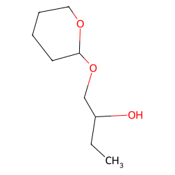 CCC(O)COC1CCCCO1